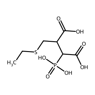 CCSCC(C(=O)O)C(C(=O)O)P(=O)(O)O